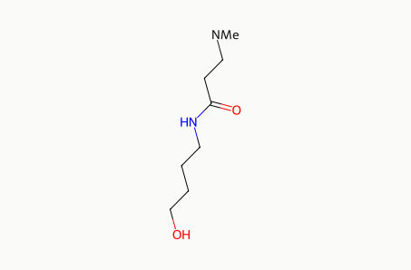 CNCCC(=O)NCCCCO